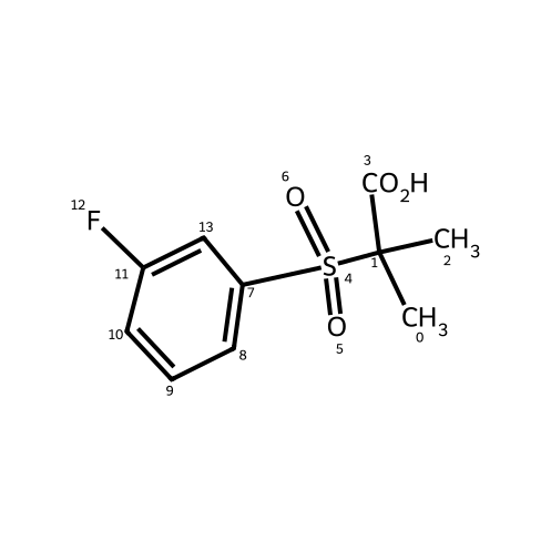 CC(C)(C(=O)O)S(=O)(=O)c1cccc(F)c1